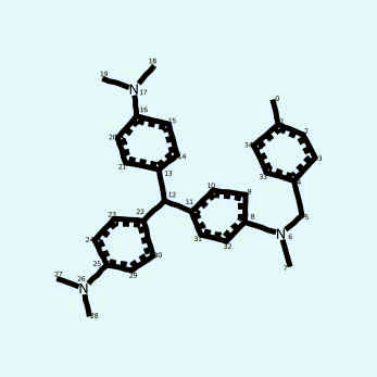 Cc1ccc(CN(C)c2ccc(C(c3ccc(N(C)C)cc3)c3ccc(N(C)C)cc3)cc2)cc1